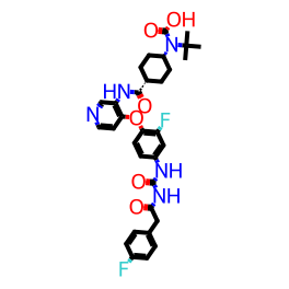 CC(C)(C)N(C(=O)O)[C@H]1CC[C@H](C(=O)Nc2cnccc2Oc2ccc(NC(=O)NC(=O)Cc3ccc(F)cc3)cc2F)CC1